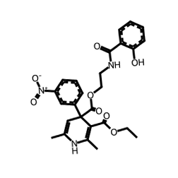 CCOC(=O)C1=C(C)NC(C)=CC1(C(=O)OCCNC(=O)c1ccccc1O)c1cccc([N+](=O)[O-])c1